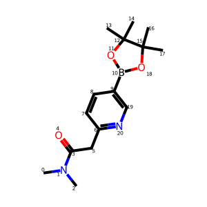 CN(C)C(=O)Cc1ccc(B2OC(C)(C)C(C)(C)O2)cn1